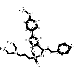 CCN(CC)CCCS(=O)(=O)N[C@H](CCc1ccccc1)c1nc(-c2ccc(OC)nc2)n[nH]1